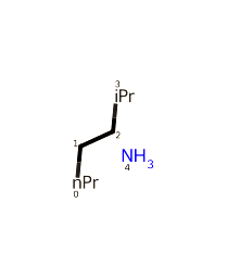 CCCCCC(C)C.N